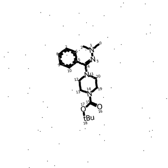 CN(C)/N=C(\c1ccccc1)N1CCN(C(=O)OC(C)(C)C)CC1